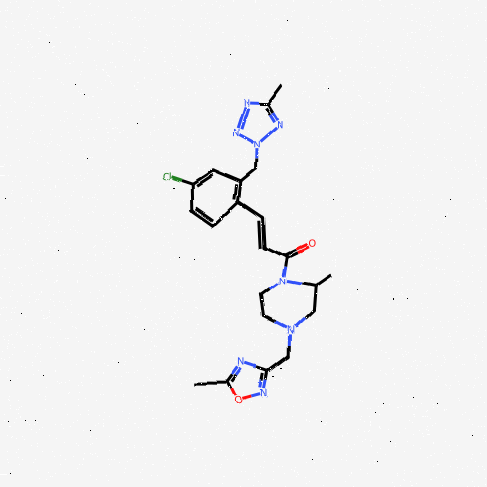 Cc1nnn(Cc2cc(Cl)ccc2C=CC(=O)N2CCN(Cc3noc(C)n3)CC2C)n1